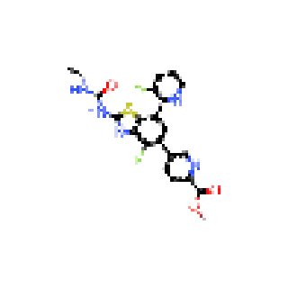 CCNC(=O)Nc1nc2c(F)c(-c3ccc(C(=O)OC)nc3)cc(-c3ncccc3F)c2s1